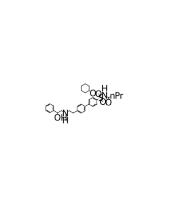 CCCC(=O)NS(=O)(=O)c1ccc(-c2ccc(CCNC[C@H](O)c3ccccc3)cc2)cc1OC1CCCCC1